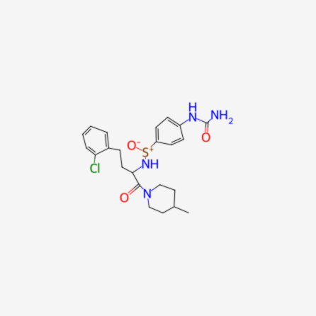 CC1CCN(C(=O)C(CCc2ccccc2Cl)N[S+]([O-])c2ccc(NC(N)=O)cc2)CC1